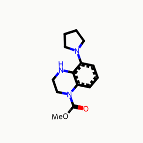 COC(=O)N1CCNc2c(N3CCCC3)cccc21